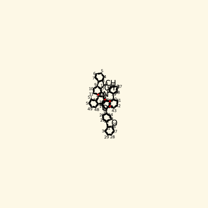 CC1(C)c2ccccc2-c2cccc(N(c3ccc(-c4ccc5c(c4)oc4ccccc45)cc3)c3ccccc3-c3cccc4oc5c6ccccc6ccc5c34)c21